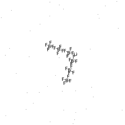 F[B-](F)(F)F.F[B-](F)(F)F.F[B-](F)(F)F.F[B-](F)(F)F.F[B-](F)(F)F.F[B-](F)(F)F.[Li]